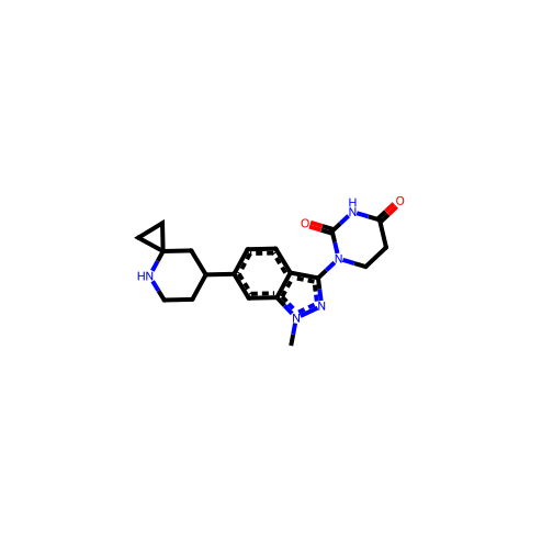 Cn1nc(N2CCC(=O)NC2=O)c2ccc(C3CCNC4(CC4)C3)cc21